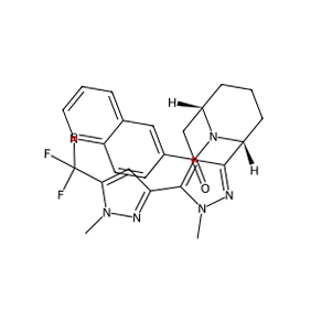 Cn1nc(-c2c3c(nn2C)[C@H]2CCC[C@@H](C3)N2C(=O)c2ccc3ncccc3c2)cc1C(F)(F)F